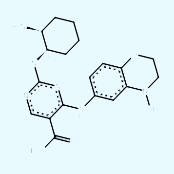 CC(=O)c1cnc(N[C@@H]2CCCC[C@@H]2N)nc1Nc1ccc2c(c1)N(C)CCO2